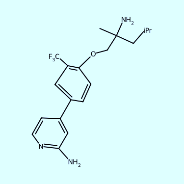 CC(C)CC(C)(N)COc1ccc(-c2ccnc(N)c2)cc1C(F)(F)F